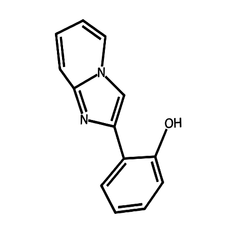 Oc1ccccc1-c1cn2ccccc2n1